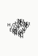 CCC(C(=O)Nc1ccc2cc3ccc(NC(=O)C(CC)N4CCCCC4)cc3nc2c1)N1CCCCC1.CCC(C(=O)Nc1ccc2cc3ccc(NC(=O)C(CC)N4CCCCC4)cc3nc2c1)N1CCCCC1.O